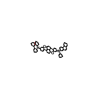 c1ccc(-c2ccccc2N(c2ccccc2)c2ccc3c(c2)Oc2ccc4c5c(ccc-3c25)Oc2cc(N(c3ccccc3)c3ccc5c(ccc6ccccc65)c3)ccc2-4)cc1